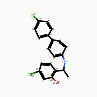 CC(Nc1ccc(-c2ccc(Cl)cc2)cc1)c1ccc(Cl)cc1Br